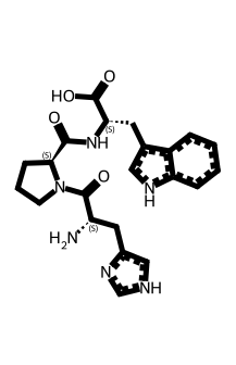 N[C@@H](Cc1c[nH]cn1)C(=O)N1CCC[C@H]1C(=O)N[C@@H](Cc1c[nH]c2ccccc12)C(=O)O